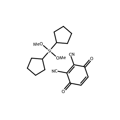 CO[Si](OC)(C1CCCC1)C1CCCC1.N#CC1=C(C#N)C(=O)C=CC1=O